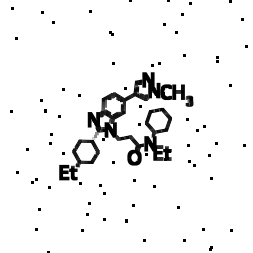 CCN(C(=O)CCn1c2cc(-c3cnn(C)c3)ccc2nc1[C@H]1CC[C@H](CC)CC1)C1CCCCC1